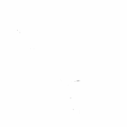 CC#C[C@@]1(O)CC[C@@]2(Cc3ccccc3)c3ccc(OCc4ccccn4)cc3CC[C@@H]2C1